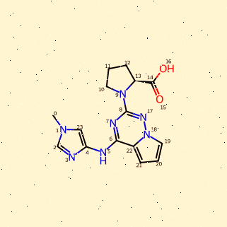 Cn1cnc(Nc2nc(N3CCC[C@H]3C(=O)O)nn3cccc23)c1